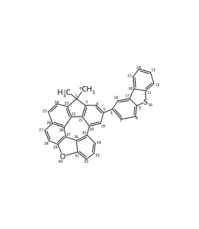 CC1(C)c2cc(-c3ccc4sc5ccccc5c4c3)cc3c2-c2c1ccc1ccc4oc5cccc-3c5c4c21